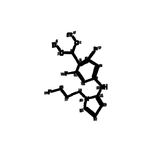 CCOC(OCC)c1c(F)cc(Nc2cccn2CCCF)cc1F